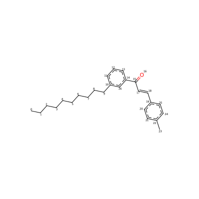 CCCCCCCCCCc1cccc(C(=O)C=Cc2ccc(C)cc2)c1